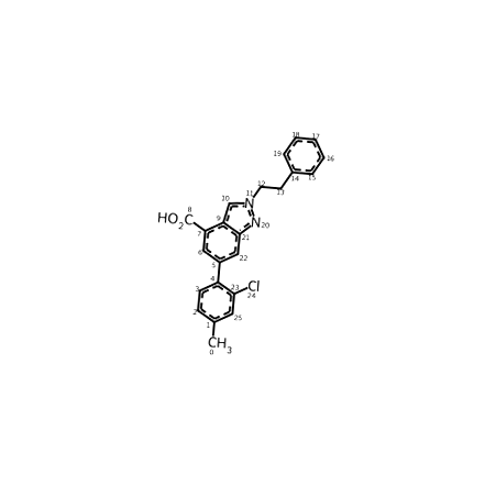 Cc1ccc(-c2cc(C(=O)O)c3cn(CCc4ccccc4)nc3c2)c(Cl)c1